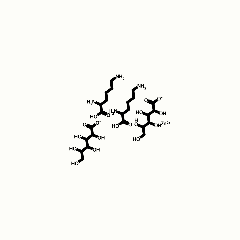 NCCCCC(N)C(=O)O.NCCCCC(N)C(=O)O.O=C([O-])C(O)C(O)C(O)C(O)CO.O=C([O-])C(O)C(O)C(O)C(O)CO.[Zn+2]